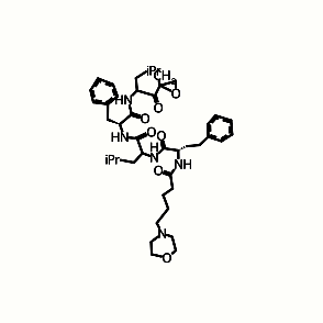 CC(C)CC(NC(=O)[C@H](CCc1ccccc1)NC(=O)CCCCN1CCOCC1)C(=O)N[C@@H](Cc1ccccc1)C(=O)NC(CC(C)C)C(=O)C1(C)CO1